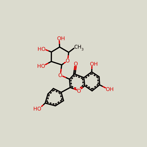 CC1OC(Oc2c(-c3ccc(O)cc3)oc3cc(O)cc(O)c3c2=O)C(O)C(O)C1O